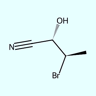 C[C@@H](Br)[C@@H](O)C#N